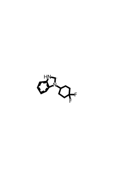 FC1(F)CCC(N2[CH]Nc3ccccc32)CC1